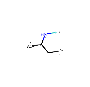 CC(=O)[C@H](CC(C)C)NF